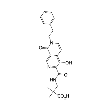 CC(C)(CNC(=O)c1ncc2c(=O)n(CCc3ccccc3)ccc2c1O)C(=O)O